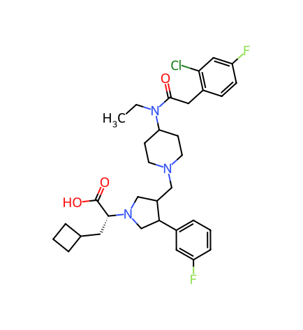 CCN(C(=O)Cc1ccc(F)cc1Cl)C1CCN(CC2CN([C@H](CC3CCC3)C(=O)O)CC2c2cccc(F)c2)CC1